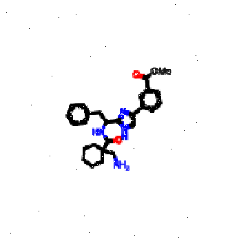 COC(=O)c1cccc(-c2c[nH]c(C(Cc3ccccc3)NC(=O)C3(CN)CCCCC3)n2)c1